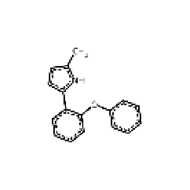 Cc1ccc(-c2ccccc2Oc2ccccc2)[nH]1